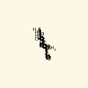 CCNC(=O)Nc1ccc(Oc2ncnc3cc(OCCCN4CCOCC4)c(OC)cc23)cc1Cl